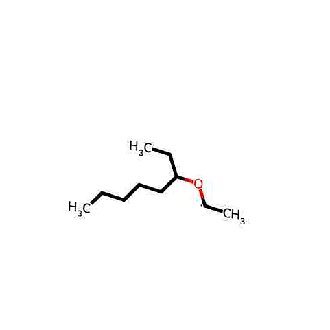 C[CH]OC(CC)CCCCC